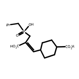 CC(C)CP(=O)(O)CC(=CC1CCC(C(=O)O)CC1)C(=O)O